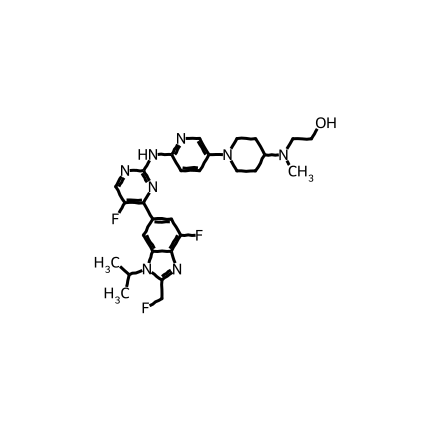 CC(C)n1c(CF)nc2c(F)cc(-c3nc(Nc4ccc(N5CCC(N(C)CCO)CC5)cn4)ncc3F)cc21